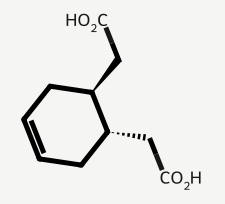 O=C(O)C[C@@H]1CC=CC[C@H]1CC(=O)O